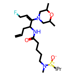 C=CCC(NC(=O)CCCCN(C)[S+]([O-])C(C)C)/C(=C\CF)N1CC(C)OC(C)C1